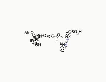 CCN1\C(=C/C=C/C=C/C2=[N+](CCCCCC(=O)NCCOCCOCCOCCn3cc(CN(C(C(=O)NO)C(C)C)S(=O)(=O)c4ccc(OC)cc4)nn3)c3ccc4ccc(S(=O)(=O)O)cc4c3C2(C)C)C(C)(C)c2c1ccc1c(C)cccc21